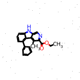 CCOC(=O)c1ncc2[nH]c3cccc(-c4ccccc4)c3c2c1C